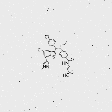 CCC[C@H](c1ccc(C(=O)NCCC(=O)O)cc1)C(c1ccc(Cl)cc1)c1csc2c(-c3cnn(C)c3)cc(Cl)cc12